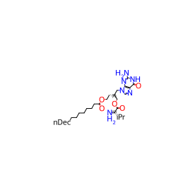 CCCCCCCCCCCCCCCCCC(=O)OCC[C@@H](COC(=O)[C@@H](N)C(C)C)Cn1cnc2c(=O)[nH]c(N)nc21